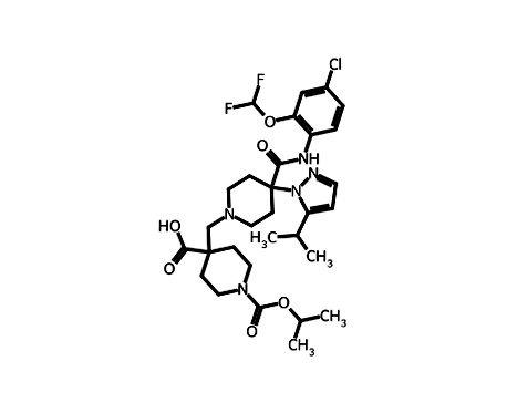 CC(C)OC(=O)N1CCC(CN2CCC(C(=O)Nc3ccc(Cl)cc3OC(F)F)(n3nccc3C(C)C)CC2)(C(=O)O)CC1